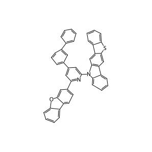 c1ccc(-c2cccc(-c3cc(-c4ccc5c(c4)oc4ccccc45)nc(-n4c5ccccc5c5cc6sc7ccccc7c6cc54)c3)c2)cc1